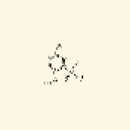 CCOc1ccc(C(C)C)cc1S(N)(=O)=O